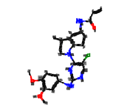 C=CC(=O)Nc1ccc2c(c1)c(C)cn2-c1nc(Nc2ccc(OC)c(OC)c2)ncc1Cl